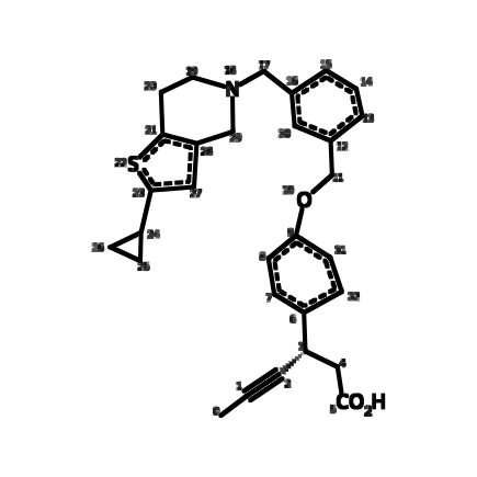 CC#C[C@@H](CC(=O)O)c1ccc(OCc2cccc(CN3CCc4sc(C5CC5)cc4C3)c2)cc1